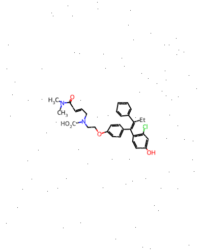 CC/C(=C(/c1ccc(OCCN(C/C=C/C(=O)N(C)C)C(=O)O)cc1)c1ccc(O)cc1Cl)c1ccccc1